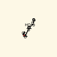 CCP(=O)(CC)C(CCCCOc1c(C)cc(O)c(CCC(=O)OCc2ccccc2)c1C)P(=O)(CC)CC